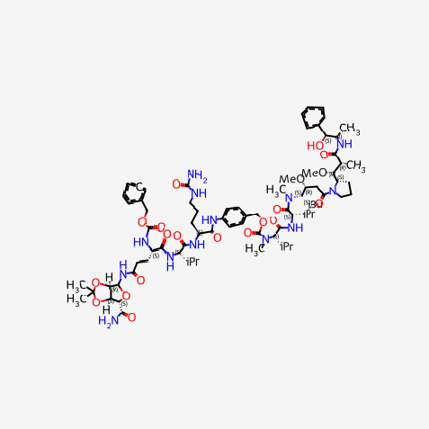 CC[C@H](C)[C@@H]([C@@H](CC(=O)N1CCC[C@H]1[C@H](OC)[C@@H](C)C(=O)N[C@H](C)[C@@H](O)c1ccccc1)OC)N(C)C(=O)[C@@H](NC(=O)[C@H](C(C)C)N(C)C(=O)OCc1ccc(NC(=O)[C@H](CCCNC(N)=O)NC(=O)[C@@H](NC(=O)[C@H](CCC(=O)NC2O[C@H](C(N)=O)[C@H]3OC(C)(C)O[C@@H]23)NC(=O)OCc2ccccc2)C(C)C)cc1)C(C)C